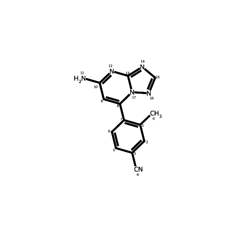 Cc1cc(C#N)ccc1-c1cc(N)nc2ncnn12